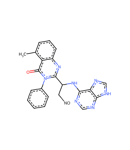 Cc1cccc2nc(C(CN=O)Nc3ncnc4[nH]cnc34)n(-c3ccccc3)c(=O)c12